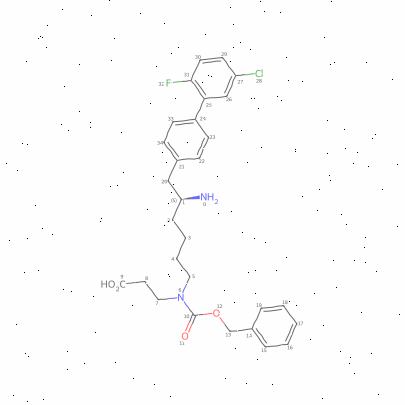 N[C@@H](CCCCN(CCC(=O)O)C(=O)OCc1ccccc1)Cc1ccc(-c2cc(Cl)ccc2F)cc1